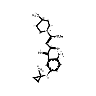 CN/C(=C\C(=N)C(=N)c1cc(OC2(C)CC2)ccc1N)N1CCC(OC)CC1